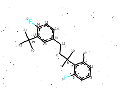 Cc1cccc(F)c1C(C)(C)CCc1ccc(F)c(C(C)(C)C)c1